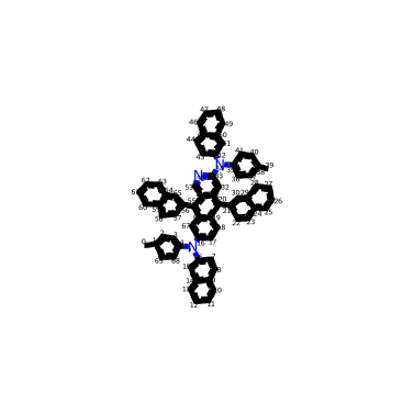 Cc1ccc(N(c2ccc3ccccc3c2)c2ccc3c(-c4ccc5ccccc5c4)c4cc(N(c5ccc(C)cc5)c5ccc6ccccc6c5)ncc4c(-c4ccc5ccccc5c4)c3c2)cc1